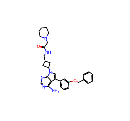 Nc1ncnc2c1c(-c1cccc(OCc3ccccc3)c1)cn2C1CC(CNC(=O)CN2CCCCC2)C1